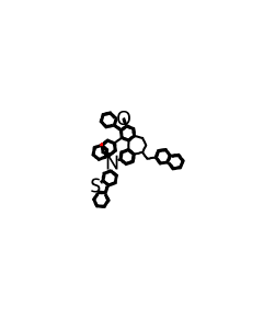 c1ccc(-c2c3c(cc4oc5ccccc5c24)CCC(Cc2ccc4ccccc4c2)c2ccc(N(c4ccccc4)c4ccc5c(c4)sc4ccccc45)cc2-3)cc1